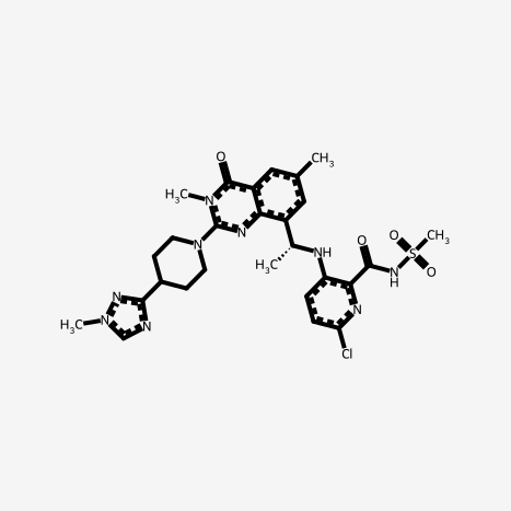 Cc1cc([C@@H](C)Nc2ccc(Cl)nc2C(=O)NS(C)(=O)=O)c2nc(N3CCC(c4ncn(C)n4)CC3)n(C)c(=O)c2c1